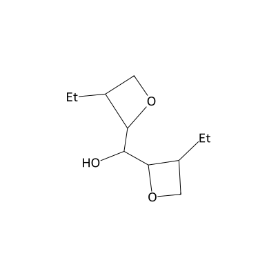 CCC1COC1C(O)C1OCC1CC